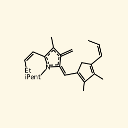 C=c1c(C)c(/C=C\CC)n(C(C)CCC)/c1=C/C1=C(C)C(C)=C(/C=C\C)C1